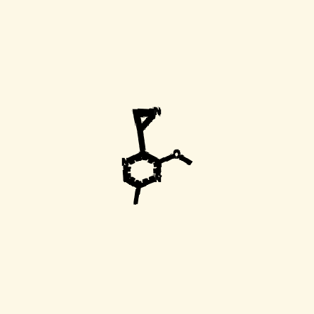 COc1nc(C)cnc1C1C=N1